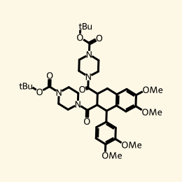 COc1ccc(C2c3cc(OC)c(OC)cc3CC(C(=O)N3CCN(C(=O)OC(C)(C)C)CC3)C2C(=O)N2CCN(C(=O)OC(C)(C)C)CC2)cc1OC